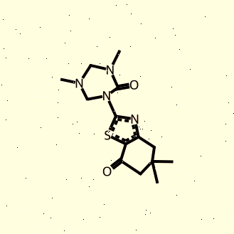 CN1CN(C)C(=O)N(c2nc3c(s2)C(=O)CC(C)(C)C3)C1